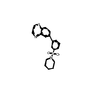 O=S(=O)(c1cccc(-c2ccc3nccnc3c2)c1)N1CCCCC1